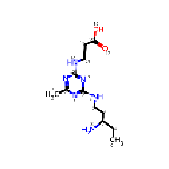 CCC(N)CCNc1nc(C)nc(NCCC(=O)O)n1